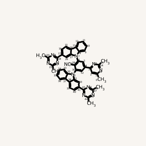 Cc1cc(-c2cc(-n3c4ccccc4c4ccc(-c5nc(C)nc(C)n5)cc43)c(C#N)c(-n3c4ccccc4c4ccc(-c5nc(C)nc(C)n5)cc43)c2)nc(C)n1